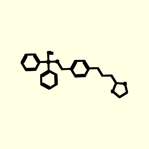 CC(C)(C)[Si](OCc1ccc(CCCC2OCCO2)cc1)(c1ccccc1)c1ccccc1